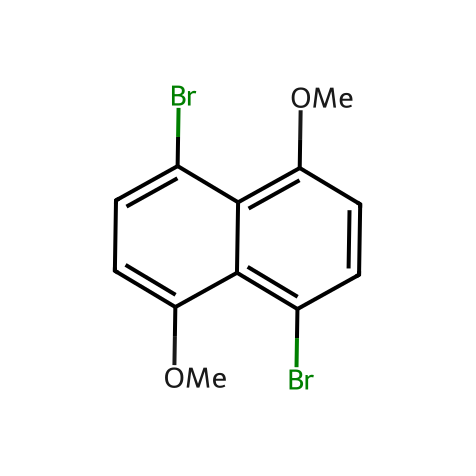 COc1ccc(Br)c2c(OC)ccc(Br)c12